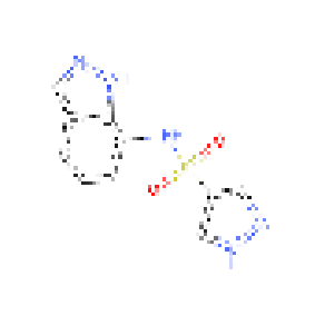 O=S(=O)(Nc1cccc2cn[nH]c12)c1cn[nH]c1